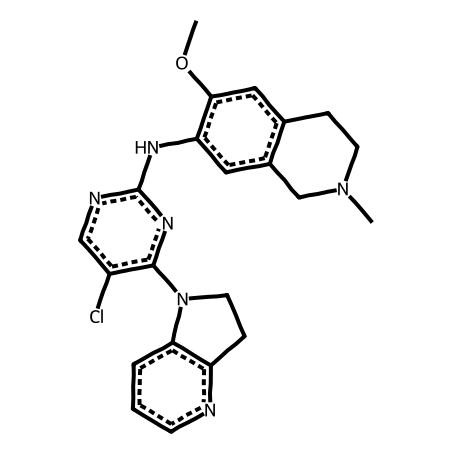 COc1cc2c(cc1Nc1ncc(Cl)c(N3CCc4ncccc43)n1)CN(C)CC2